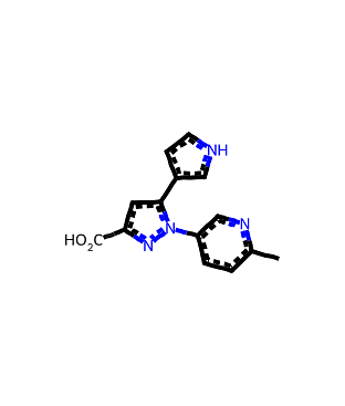 Cc1ccc(-n2nc(C(=O)O)cc2-c2cc[nH]c2)cn1